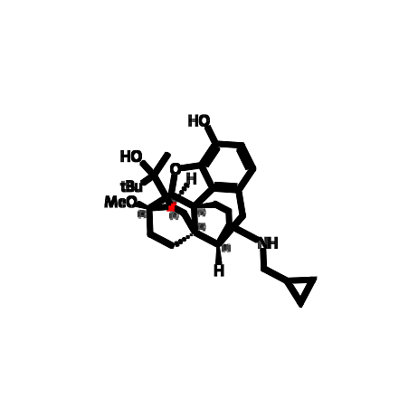 CO[C@]12CC[C@@]3(C[C@@H]1C(C)(O)C(C)(C)C)[C@H]1Cc4ccc(O)c5c4[C@@]3(CCC1NCC1CC1)[C@]2(C)O5